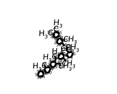 CC(C)c1ccccc1.CCc1ccccc1.CCc1ccccc1C.CCc1ccccc1CC.Cc1ccccc1.Cc1ccccc1C.c1ccccc1